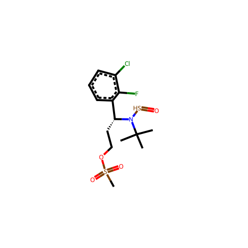 CC(C)(C)N([SH]=O)[C@H](CCOS(C)(=O)=O)c1cccc(Cl)c1F